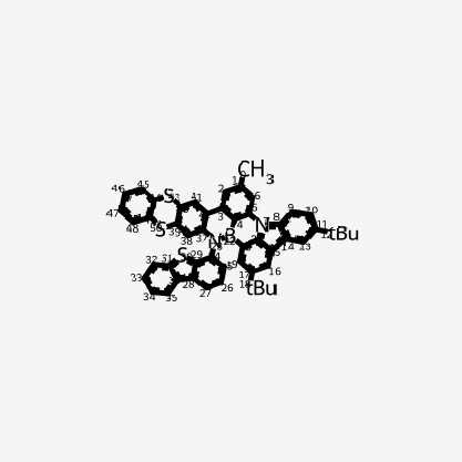 Cc1cc2c3c(c1)-n1c4ccc(C(C)(C)C)cc4c4cc(C(C)(C)C)cc(c41)B3N(c1cccc3c1sc1ccccc13)c1cc3c(cc1-2)Sc1ccccc1S3